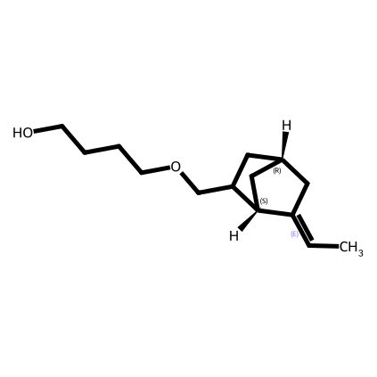 C/C=C1\C[C@H]2CC(COCCCCO)[C@@H]1C2